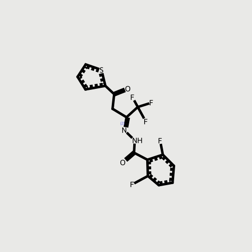 O=C(C/C(=N/NC(=O)c1c(F)cccc1F)C(F)(F)F)c1cccs1